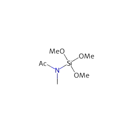 CO[Si](OC)(OC)N(C)C(C)=O